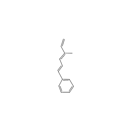 C=C/C(C)=C/C=C/c1ccccc1